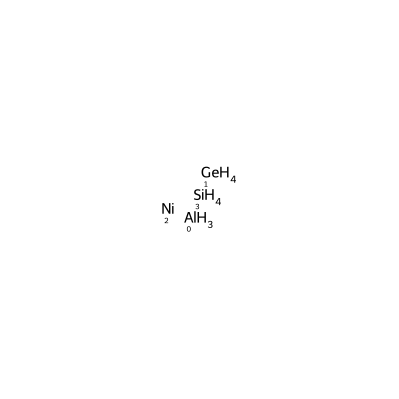 [AlH3].[GeH4].[Ni].[SiH4]